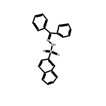 O=S(=O)(NN=C(c1ccccc1)c1ccccc1)c1ccc2ccccc2c1